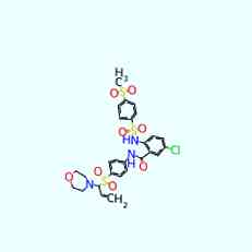 C=CC(N1CCOCC1)S(=O)(=O)c1ccc(NC(=O)c2cc(Cl)ccc2NS(=O)(=O)c2ccc(S(C)(=O)=O)cc2)cc1